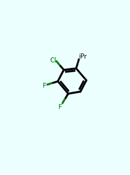 CC(C)c1ccc(F)c(F)c1Cl